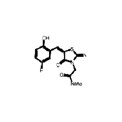 CNC(=O)CN1C(=O)/C(=C\c2cc(F)ccc2O)SC1=S